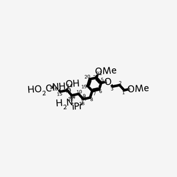 COCCCOc1cc(C[C@@H](C[C@H](N)[C@@H](O)CNC(=O)O)C(C)C)ccc1OC